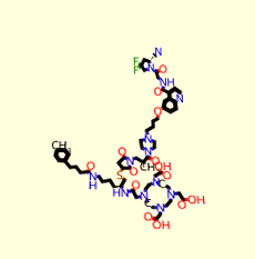 Cc1ccc(CCCC(=O)NCCCC[C@@H](CSC2CC(=O)N(C[C@@H](C)C(=O)N3CCN(CCCCOc4ccc5nccc(C(=O)NCC(=O)N6CC(F)(F)C[C@@H]6C#N)c5c4)CC3)C2=O)NC(=O)CN2CCN(CC(=O)O)CCN(CC(=O)O)CCN(CC(=O)O)CC2)cc1